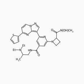 CCN(CC)C(C)CNC(=O)c1cc(-c2cnn3ccc(-c4cccs4)nc23)nc(N2CCC2C(=O)N(C)O)c1